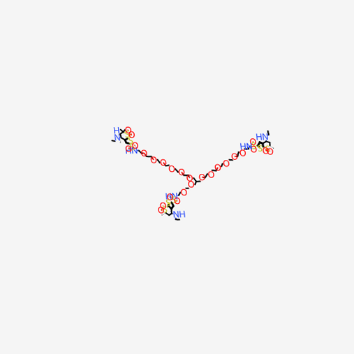 CCN[C@H]1C[C@H](C)S(=O)(=O)c2sc(S(=O)(=O)NCCOCCOCCOCCOCCOCCOCC(COCCOCCNS(=O)(=O)c3cc4c(s3)S(=O)(=O)[C@@H](C)C[C@@H]4NCC)COCCOCCOCCOCCOCCOCCNS(=O)(=O)c3cc4c(s3)S(=O)(=O)C(C)(C)C[C@]4(C)NCC)cc21